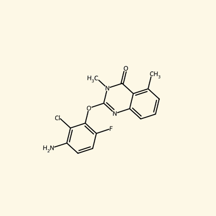 Cc1cccc2nc(Oc3c(F)ccc(N)c3Cl)n(C)c(=O)c12